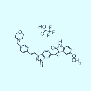 COc1ccc2c(c1)[C@]1(C[C@H]1c1ccc3c(/C=C/c4ccc(CN5CCOCC5)cc4)n[nH]c3c1)C(=O)N2.O=C(O)C(F)(F)F